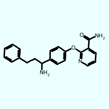 NC(=O)c1cccnc1Oc1ccc(C(N)CCc2ccccc2)cc1